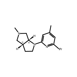 Cc1cc(C(C)C)nc(N2CC[C@@H]3CN(C)C[C@@H]32)c1